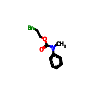 CN(C(=O)OCCBr)c1ccccc1